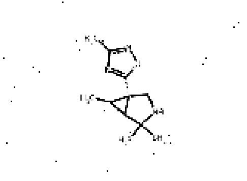 BC1(B)NC[C@@]2(c3nc(C)no3)C1[C@H]2C